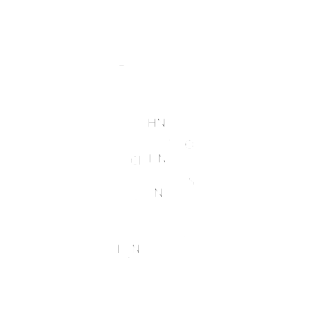 NCc1cccc(Cl)c1N1c2ccccc2SC1NC(=O)NCc1cccc(F)c1